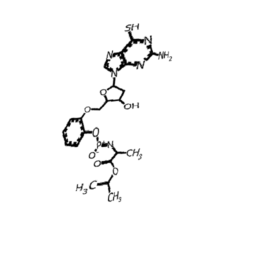 CC(C)OC(=O)C(C)/N=[P+](\[O-])Oc1ccccc1OCC1OC(n2cnc3c(S)nc(N)nc32)CC1O